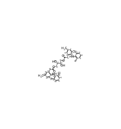 Cc1ccc(Nc2c(F)cccc2Cl)c(CC(=O)OCC(O)C(O)COC(=O)Cc2cc(C)ccc2Nc2c(F)cccc2Cl)c1